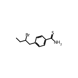 CCC(Br)Cc1ccc(C(N)=S)cc1